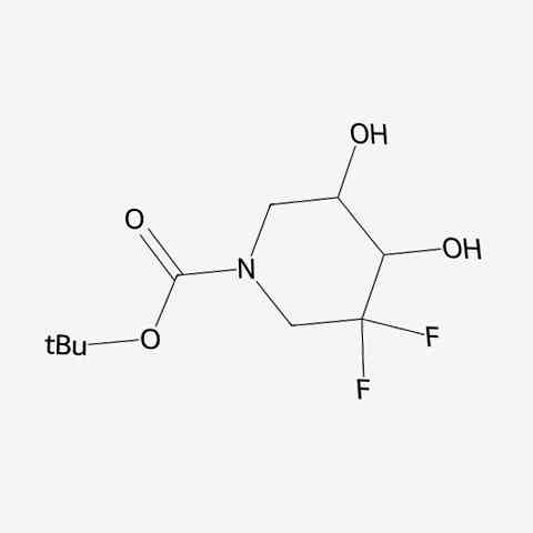 CC(C)(C)OC(=O)N1CC(O)C(O)C(F)(F)C1